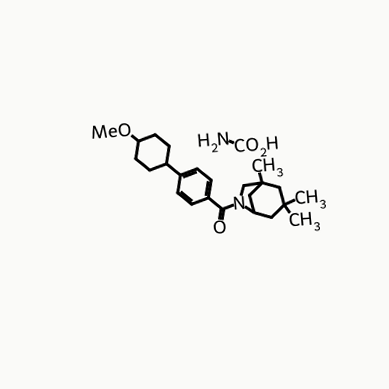 COC1CCC(c2ccc(C(=O)N3CC4(C)CC3CC(C)(C)C4)cc2)CC1.NC(=O)O